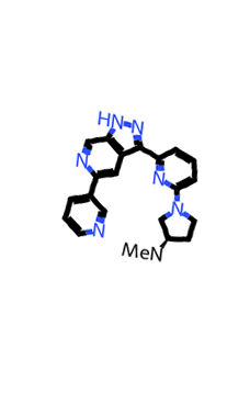 CN[C@@H]1CCN(c2cccc(-c3n[nH]c4cnc(-c5cccnc5)cc34)n2)C1